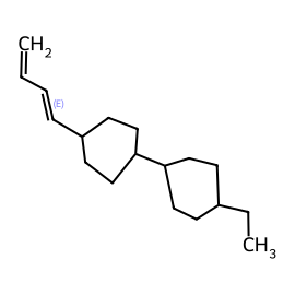 C=C/C=C/C1CCC(C2CCC(CC)CC2)CC1